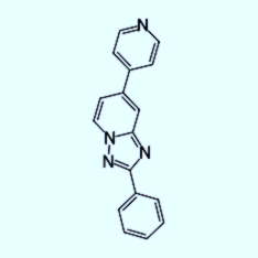 c1ccc(-c2nc3cc(-c4ccncc4)ccn3n2)cc1